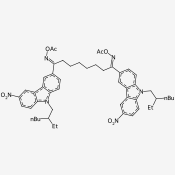 CCCCC(CC)Cn1c2ccc(/C(CCCCCC/C(=N\OC(C)=O)c3ccc4c(c3)c3cc([N+](=O)[O-])ccc3n4CC(CC)CCCC)=N/OC(C)=O)cc2c2cc([N+](=O)[O-])ccc21